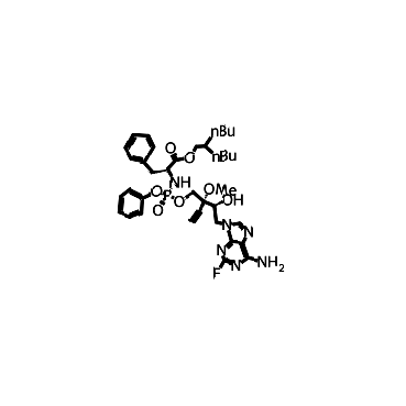 C#C[C@](COP(=O)(N[C@@H](Cc1ccccc1)C(=O)OCC(CCCC)CCCC)Oc1ccccc1)(OC)[C@@H](O)Cn1cnc2c(N)nc(F)nc21